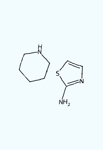 C1CCNCC1.Nc1nccs1